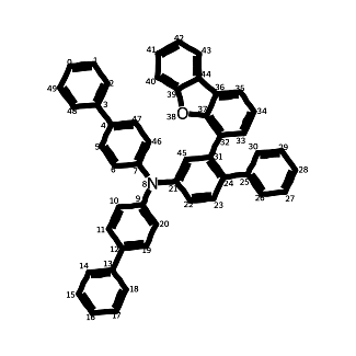 c1ccc(-c2ccc(N(c3ccc(-c4ccccc4)cc3)c3ccc(-c4ccccc4)c(-c4cccc5c4oc4ccccc45)c3)cc2)cc1